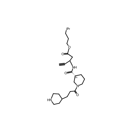 C#CC(CC(=O)OCCCC(C)C)NC(=O)[C@@H]1CCCN(C(=O)CCC2CCNCC2)C1